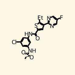 CCc1sc(C(=O)Nc2cc(Cl)cc(NS(C)(=O)=O)c2)cc1-c1ncc(F)cn1